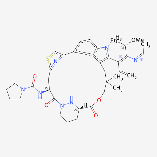 C=C/C(=C(\N=C/C)[C@H](C)OC)c1c2c3cc(ccc3n1CC)-c1csc(n1)C[C@H](NC(=O)N1CCCC1)C(=O)N1CCC[C@H](N1)C(=O)OCC(C)(C)C2